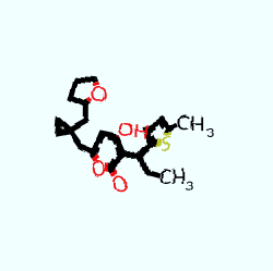 CCC(c1ccc(C)s1)c1c(O)cc(CC2(CC3CCCO3)CC2)oc1=O